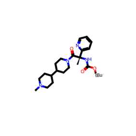 CN1CCC(C2CCN(C(=O)[C@@](C)(NC(=O)OC(C)(C)C)c3ccccn3)CC2)CC1